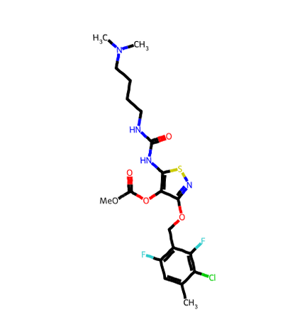 COC(=O)Oc1c(OCc2c(F)cc(C)c(Cl)c2F)nsc1NC(=O)NCCCCN(C)C